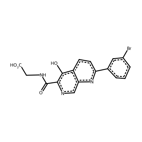 O=C(O)CNC(=O)c1ncc2nc(-c3cccc(Br)c3)ccc2c1O